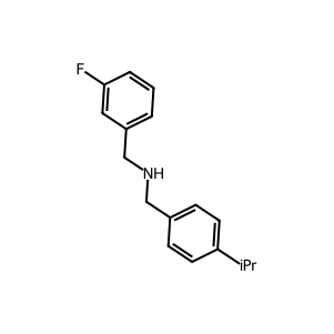 CC(C)c1ccc(CNCc2cccc(F)c2)cc1